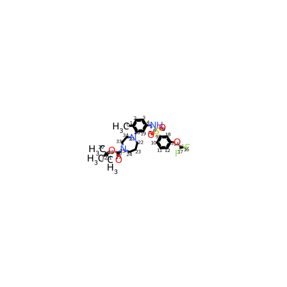 Cc1ccc(NS(=O)(=O)c2cccc(OC(F)F)c2)cc1N1CCCN(C(=O)OC(C)(C)C)CC1